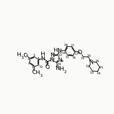 Cc1cc(C)cc(NC(=O)n2nc(Nc3ccc(OCCN4CCCCC4)cc3)nc2N)c1